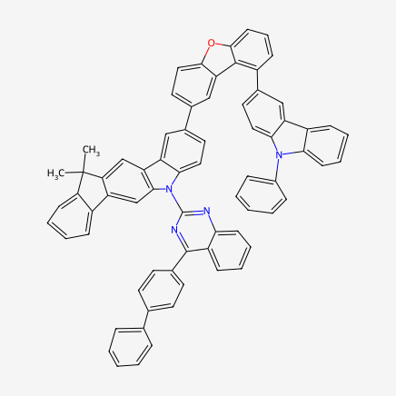 CC1(C)c2ccccc2-c2cc3c(cc21)c1cc(-c2ccc4oc5cccc(-c6ccc7c(c6)c6ccccc6n7-c6ccccc6)c5c4c2)ccc1n3-c1nc(-c2ccc(-c3ccccc3)cc2)c2ccccc2n1